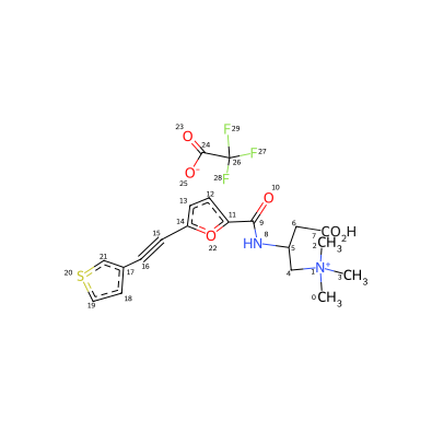 C[N+](C)(C)CC(CC(=O)O)NC(=O)c1ccc(C#Cc2ccsc2)o1.O=C([O-])C(F)(F)F